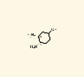 N[C@@H]1CC(O)CC[C@@H]1N